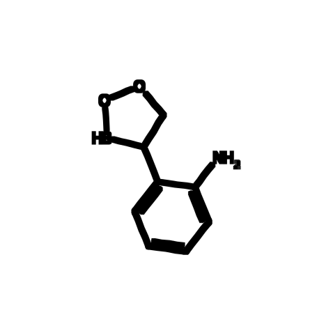 Nc1ccccc1C1BOOC1